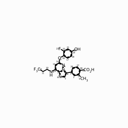 Cc1cc(-c2cnc3c(NCCC(F)(F)F)cc(Oc4ccc(O)cc4F)nn23)ccc1C(=O)O